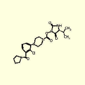 CC(C)[C@@H]1NC(=O)N(OC(=O)N2CCN(c3cccc(C(=O)N4CCCC4)c3Cl)CC2)C1=O